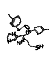 Cc1ccc(SOSc2ccc(C)cc2)cc1.O=C(NCCS)c1cnccn1